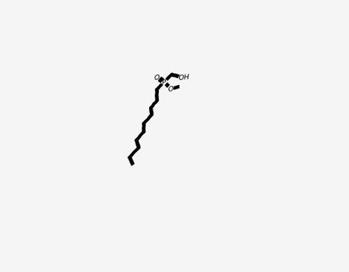 CCCCCCCCCCP(=O)(CO)OC